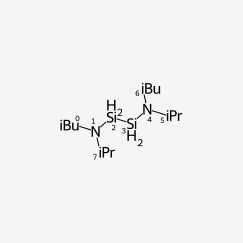 CCC(C)N([SiH2][SiH2]N(C(C)C)C(C)CC)C(C)C